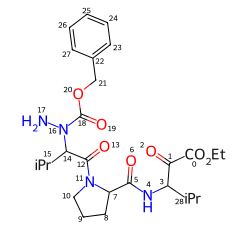 CCOC(=O)C(=O)C(NC(=O)C1CCCN1C(=O)C(C(C)C)N(N)C(=O)OCc1ccccc1)C(C)C